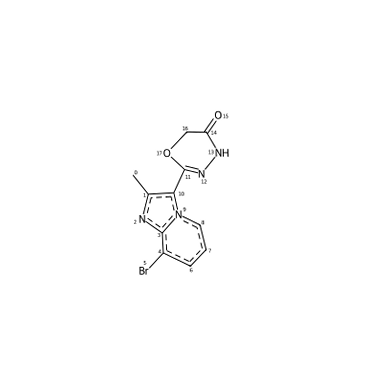 Cc1nc2c(Br)cccn2c1C1=NNC(=O)CO1